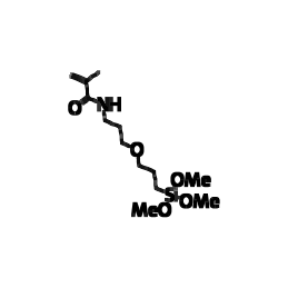 C=C(C)C(=O)NCCCOCCC[Si](OC)(OC)OC